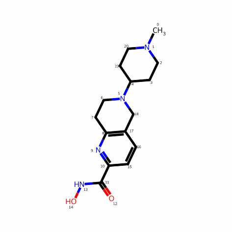 CN1CCC(N2CCc3nc(C(=O)NO)ccc3C2)CC1